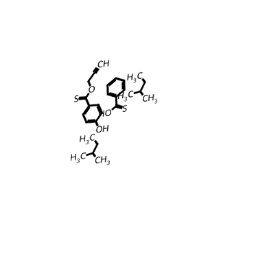 C#CCOC(=S)c1ccc(O)cc1.CCC(C)C.CCC(C)C.OC(=S)c1ccccc1